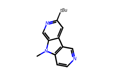 Cn1c2ccncc2c2cc(C(C)(C)C)ncc21